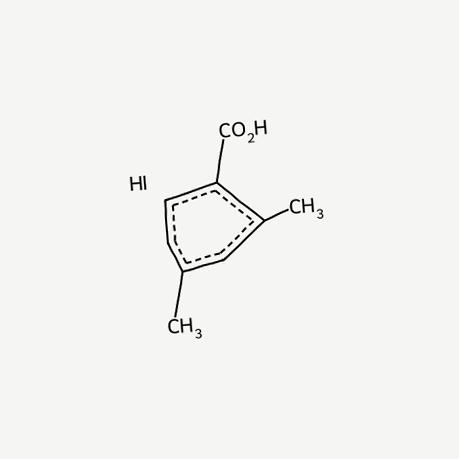 Cc1ccc(C(=O)O)c(C)c1.I